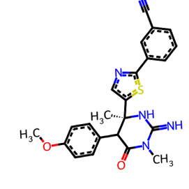 COc1ccc(C2C(=O)N(C)C(=N)N[C@]2(C)c2cnc(-c3cccc(C#N)c3)s2)cc1